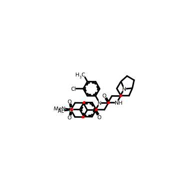 CNS(=O)(=O)c1ccc(CC(=O)NC2CC3CCC(C2)N3CCCN(C(=O)C2CCN(C(C)=O)CC2)c2ccc(C)c(Cl)c2)cc1